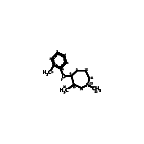 Cc1ccccc1OC1CCCN(C)CC1C